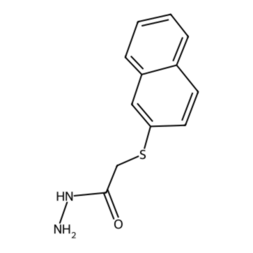 NNC(=O)CSc1ccc2ccccc2c1